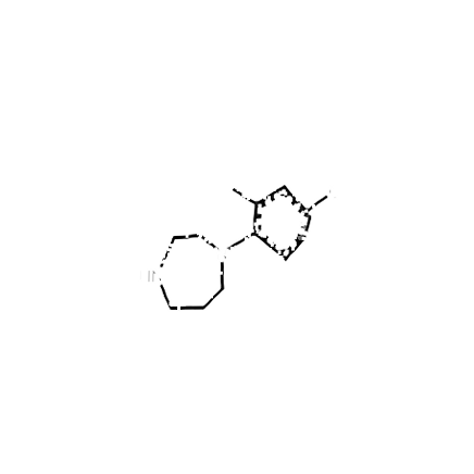 Fc1cc(Cl)ccc1N1CCCNCC1